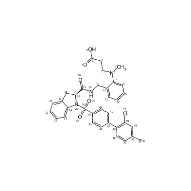 CN(CCC(=O)O)c1ccccc1CNC(=O)[C@@H]1Cc2ccccc2N1S(=O)(=O)c1ccc(-c2ccc(F)cc2Cl)cc1